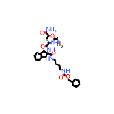 CC(=O)N[C@@H](CCC(N)=O)C(=O)NC1(C(=O)NCCCCNC(=O)OCc2ccccc2)Cc2ccccc2C1